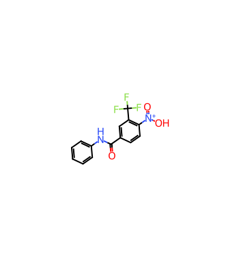 O=C(Nc1ccccc1)c1ccc([N+](=O)O)c(C(F)(F)F)c1